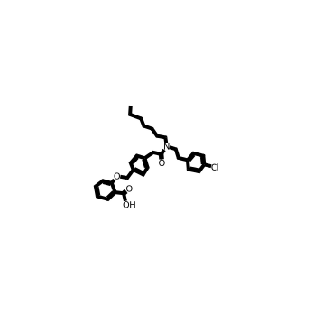 CCCCCCCN(CCc1ccc(Cl)cc1)C(=O)Cc1ccc(COc2ccccc2C(=O)O)cc1